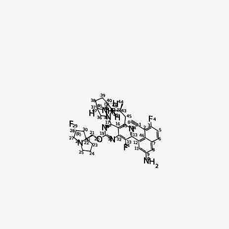 C#Cc1c(F)ccc2cc(N)cc(-c3nc4c5c(nc(OC[C@@]67CCCN6C[C@H](F)C7)nc5c3F)N3C[C@H]5CC[C@H](N5)[C@@H]3[C@@H](C)C4)c12